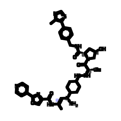 C/C(=C\N(N)C1CCC(BN[C@H](C(=O)N2C[C@H](O)C[C@H]2C(=O)NCc2ccc(-c3scnc3C)cc2)C(C)(C)C)CC1)NC(=O)c1coc(-c2ccncc2)n1